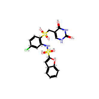 O=c1[nH]cc(CS(=O)(=O)c2ccc(Cl)cc2NS(=O)(=O)c2cc3ccccc3o2)c(=O)[nH]1